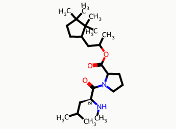 CN[C@@H](CC(C)C)C(=O)N1CCCC1C(=O)OC(C)CC1CCC(C)(C)C1(C)C